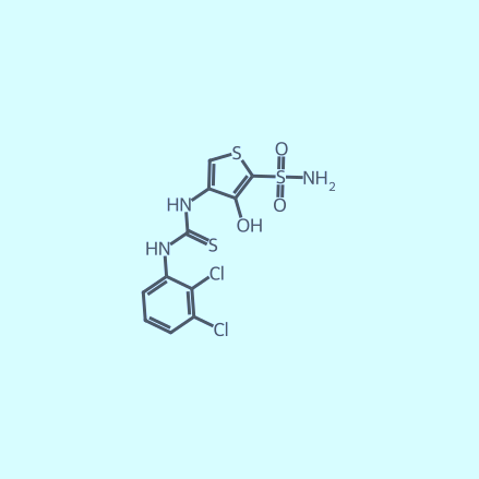 NS(=O)(=O)c1scc(NC(=S)Nc2cccc(Cl)c2Cl)c1O